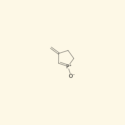 C=C1C=[P+]([O-])CC1